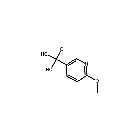 COc1ccc(C(O)(O)O)cn1